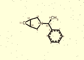 C[C@@H](c1ccccc1)N1CC2OC2C1